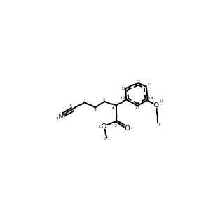 COC(=O)C(CCCC#N)c1cccc(OC)c1